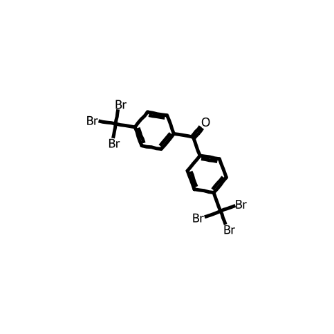 O=C(c1ccc(C(Br)(Br)Br)cc1)c1ccc(C(Br)(Br)Br)cc1